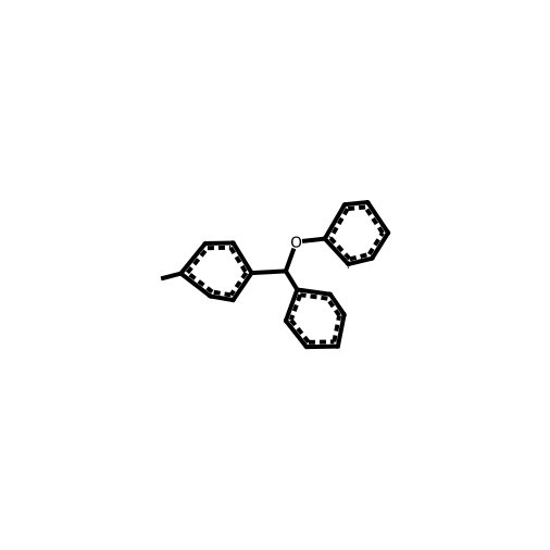 Cc1ccc(C(Oc2[c]cccc2)c2ccccc2)cc1